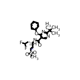 CC(C)(C)c1ncc(C(=O)N[C@H](/C=C/S(C)(=O)=O)CC(F)F)c(Oc2ccccc2)n1